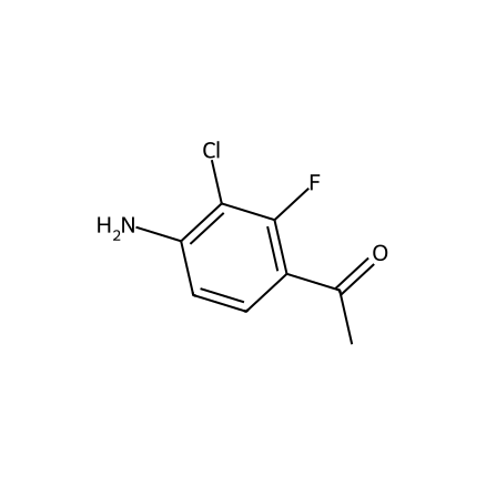 CC(=O)c1ccc(N)c(Cl)c1F